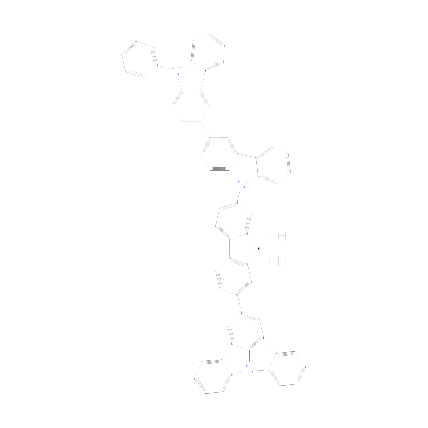 CC1(C)c2cc(-c3cc4c5ccccc5n5c6ccccc6c(c3)c45)ccc2-c2ccc(-n3c4ccccc4c4cc(-c5ccc6c(c5)c5ccccc5n6-c5ccccc5)ccc43)cc21